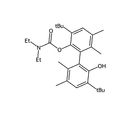 CCN(CC)C(=O)Oc1c(C(C)(C)C)cc(C)c(C)c1-c1c(C)c(C)cc(C(C)(C)C)c1O